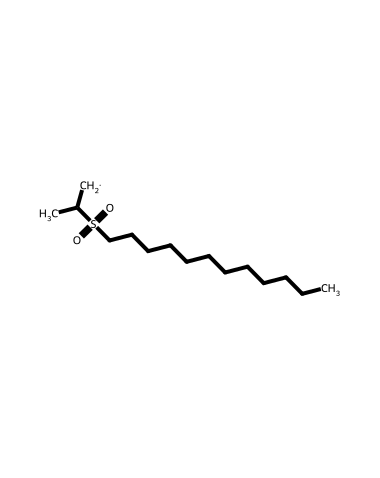 [CH2]C(C)S(=O)(=O)CCCCCCCCCCCC